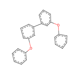 [c]1c(Oc2ccccc2)cccc1-c1[c]c(Oc2ccccc2)ccc1